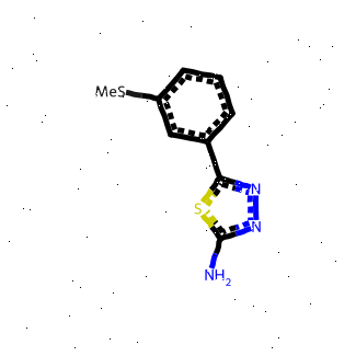 CSc1cccc(-c2nnc(N)s2)c1